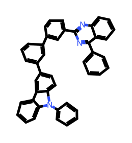 c1ccc(-c2nc(-c3cccc(-c4cccc(-c5ccc6c(c5)c5ccccc5n6-c5ccccc5)c4)c3)nc3ccccc23)cc1